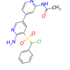 CC(=O)Nc1cc(-c2cnc(N)c(S(=O)(=O)C(Cl)c3ccccc3)c2)ccn1